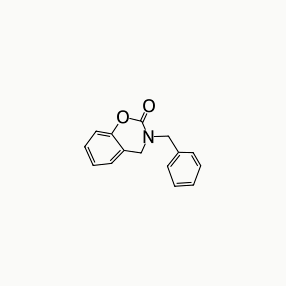 O=C1Oc2ccccc2CN1Cc1ccccc1